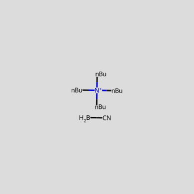 BC#N.CCCC[N+](CCCC)(CCCC)CCCC